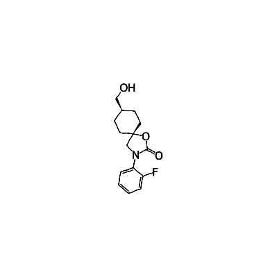 O=C1O[C@]2(CC[C@H](CO)CC2)CN1c1ccccc1F